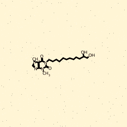 Cn1cnc2c1c(=O)n(CCCCCCCCCCC(O)CO)c(=O)n2C